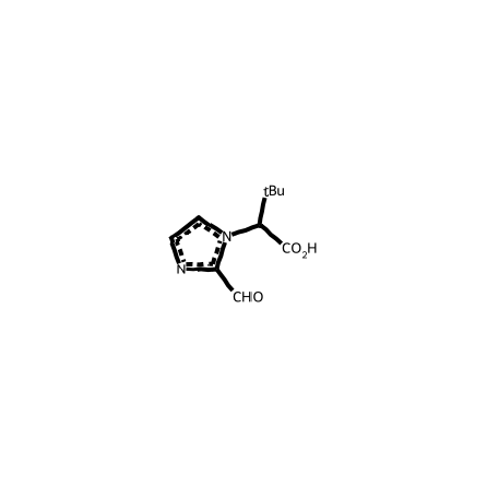 CC(C)(C)C(C(=O)O)n1ccnc1C=O